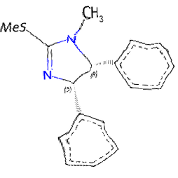 CSC1=N[C@@H](c2ccccc2)[C@@H](c2ccccc2)N1C